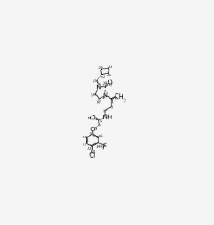 C=C(CCNC(=O)COc1ccc(Cl)c(F)c1)N1CCN(CC2CCC2)C1=O